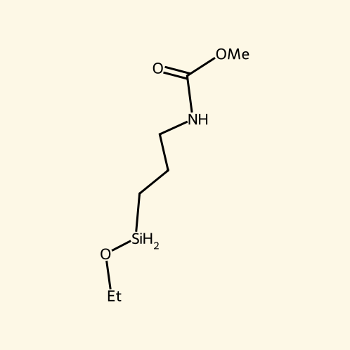 CCO[SiH2]CCCNC(=O)OC